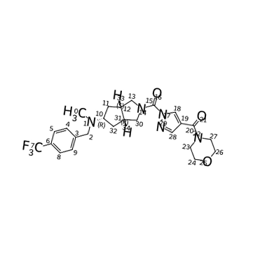 CN(Cc1ccc(C(F)(F)F)cc1)[C@@H]1C[C@@H]2CN(C(=O)n3cc(C(=O)N4CCOCC4)cn3)C[C@@H]2C1